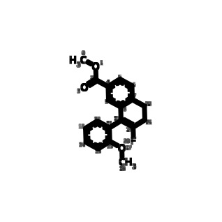 COC(=O)c1ccc2c(c1)C(c1ccccc1OC)=C(F)CC2